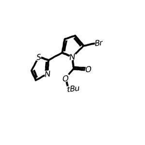 CC(C)(C)OC(=O)n1c(Br)ccc1-c1nccs1